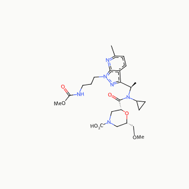 COC[C@@H]1CN(C(=O)O)C[C@H](C(=O)N(C2CC2)[C@H](C)c2nn(CCCNC(=O)OC)c3nc(C)ccc23)O1